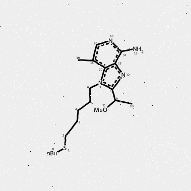 CCCCSCCCCCn1c(C(C)OC)nc2c(N)ncc(C)c21